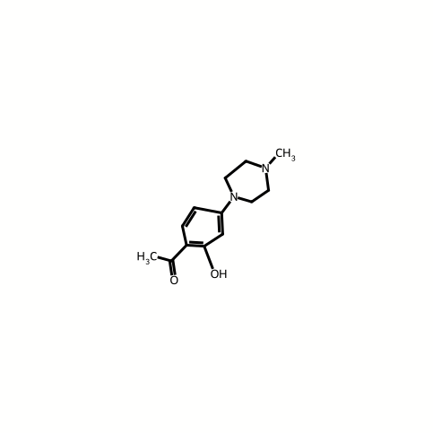 CC(=O)c1ccc(N2CCN(C)CC2)cc1O